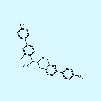 CC(=O)OC(c1ccc(-c2ccc(C(F)(F)F)cc2)nc1C)C(O)Cc1ccc(-c2ccc(C(F)(F)F)cc2)nc1C